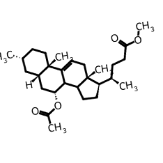 COC(=O)CC[C@@H](C)[C@H]1CCC2C3C(=CC[C@@]21C)[C@@]1(C)CC[C@@H](C)C[C@H]1C[C@H]3OC(C)=O